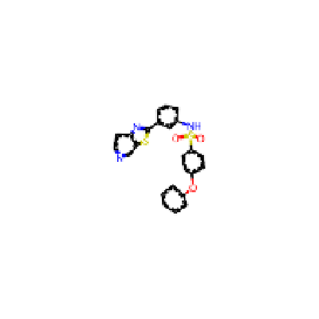 O=S(=O)(Nc1cccc(-c2nc3ccncc3s2)c1)c1ccc(Oc2ccccc2)cc1